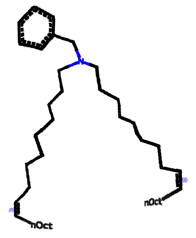 CCCCCCCC/C=C\CCCCCCCCN(CCCCCCCC/C=C\CCCCCCCC)Cc1ccccc1